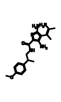 COc1ccc(C(C)CNC(=O)c2sc(N)c(/C(C)=C(/C)N)c2N)cc1